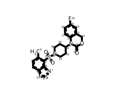 Cc1ccc2nsnc2c1S(=O)(=O)N1CCC(N2C(=O)OCc3cc(F)ccc32)CC1